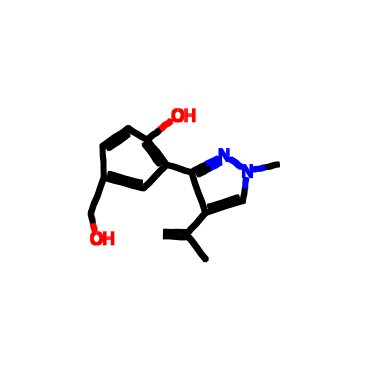 C=C(C)c1cn(C)nc1-c1cc(CO)ccc1O